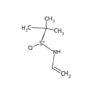 C=CN[S+]([O-])C(C)(C)C